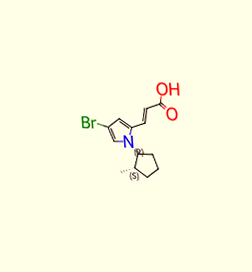 C[C@H]1CCC[C@H]1n1cc(Br)cc1C=CC(=O)O